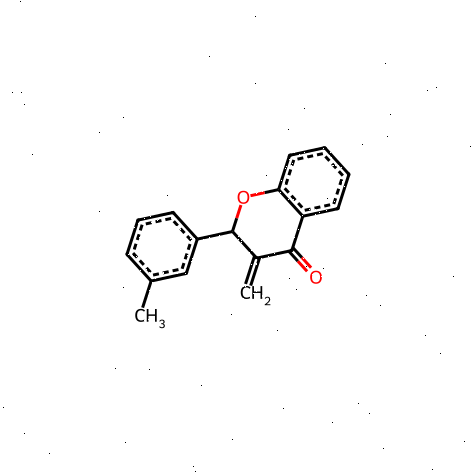 C=C1C(=O)c2ccccc2OC1c1cccc(C)c1